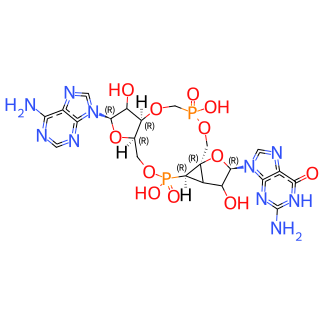 Nc1nc2c(ncn2[C@@H]2O[C@]34COP(=O)(O)CO[C@@H]5C(O)[C@H](n6cnc7c(N)ncnc76)O[C@@H]5COP(=O)(O)[C@@H]3C4C2O)c(=O)[nH]1